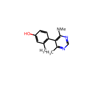 CNc1ncnc(C)c1-c1ccc(O)cc1C